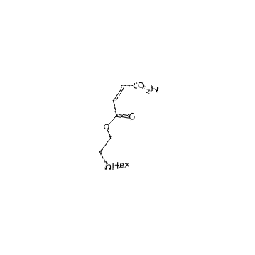 CCCCCCCCOC(=O)/C=C\C(=O)O